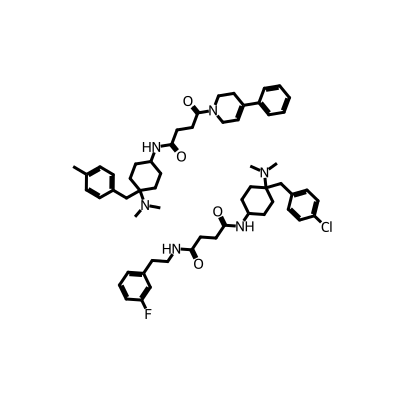 CN(C)C1(Cc2ccc(Cl)cc2)CCC(NC(=O)CCC(=O)NCCc2cccc(F)c2)CC1.Cc1ccc(CC2(N(C)C)CCC(NC(=O)CCC(=O)N3CC=C(c4ccccc4)CC3)CC2)cc1